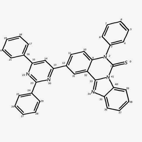 S=c1n(-c2ccccc2)c2ccc(-c3cc(-c4ccccc4)nc(-c4ccccc4)n3)cc2c2nc3ccccc3n12